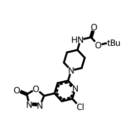 CC(C)(C)OC(=O)NC1CCN(c2cc(C3N=NC(=O)O3)cc(Cl)n2)CC1